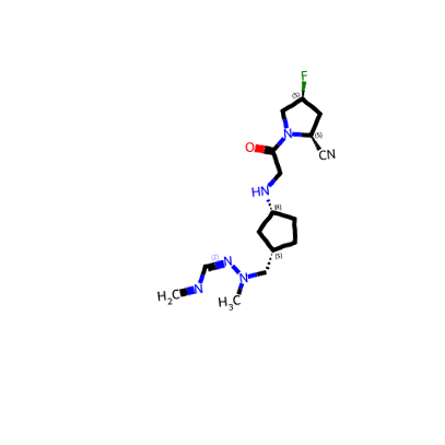 C=N/C=N\N(C)C[C@H]1CC[C@@H](NCC(=O)N2C[C@@H](F)C[C@H]2C#N)C1